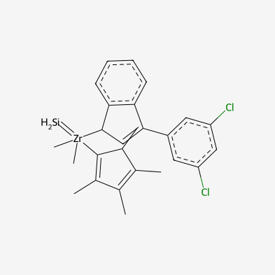 CC1=C(C)C(C)[C]([Zr]([CH3])([CH3])(=[SiH2])[CH]2C=C(c3cc(Cl)cc(Cl)c3)c3ccccc32)=C1C